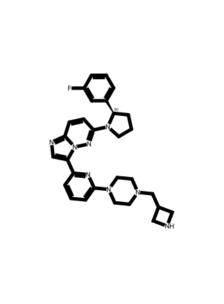 Fc1cccc([C@H]2CCCN2c2ccc3ncc(-c4cccc(N5CCN(CC6CNC6)CC5)n4)n3n2)c1